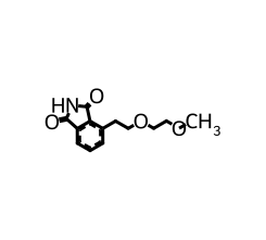 COCCOCCc1cccc2c1C(=O)NC2=O